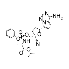 CC(C)OC(=O)[C@H](C)N[P@](=O)(OC[C@]1(C#N)CC[C@H](c2ccc3c(N)ncnn23)O1)Oc1ccccc1